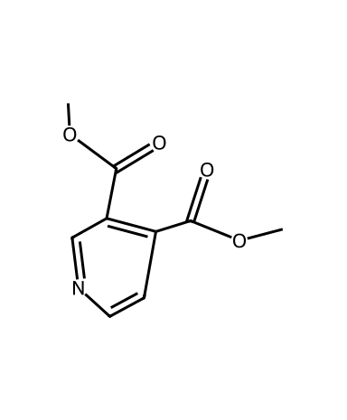 COC(=O)c1ccncc1C(=O)OC